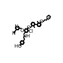 Cc1c(COc2cc(OCc3cncc(C#N)c3)c(CNCCc3ccc(O)cc3)cc2Cl)cccc1-c1cccc(OCCCN2CCCC2)c1C